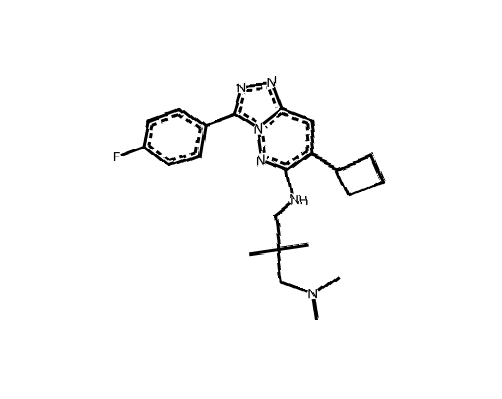 CN(C)CC(C)(C)CNc1nn2c(-c3ccc(F)cc3)nnc2cc1C1CCC1